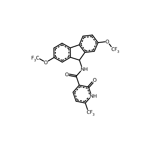 O=C(NC1c2cc(OC(F)(F)F)ccc2-c2ccc(OC(F)(F)F)cc21)c1ccc(C(F)(F)F)[nH]c1=O